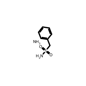 N.NS(=O)(=O)Cc1ccccc1